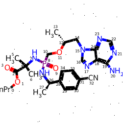 CCCOC(=O)C(C)(C)NP(=O)(CO[C@H](C)Cn1cnc2c(N)ncnc21)N[C@H](C)c1ccc(C#N)cc1